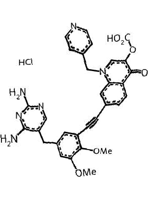 COc1cc(Cc2cnc(N)nc2N)cc(C#Cc2ccc3c(=O)c(OC(=O)O)cn(Cc4ccncc4)c3c2)c1OC.Cl